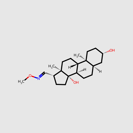 CO/N=C/[C@H]1CC[C@]2(O)[C@@H]3CC[C@@H]4C[C@@H](O)CC[C@]4(C)[C@H]3CC[C@]12C